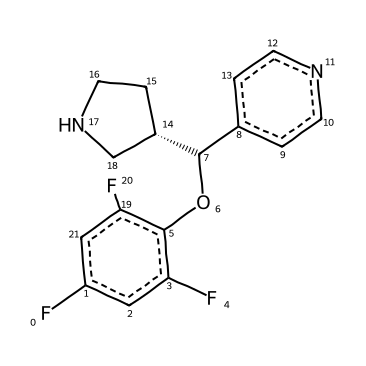 Fc1cc(F)c(OC(c2ccncc2)[C@H]2CCNC2)c(F)c1